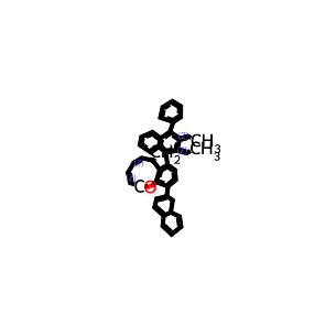 C=C1/C=C\C=C/COc2c(C3=CC=C4C=CC=CC4C3)ccc(-c3c(=C/C)/c(=C\C)c(-c4ccccc4)c4ccccc34)c21